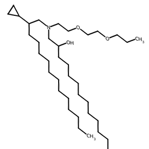 CCCCCCCCCCCCC(O)CN(CCOCCOCCC)CC(CCCCCCCCCCCC)C1CC1